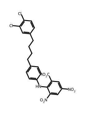 O=C(O)c1cc([N+](=O)[O-])cc([N+](=O)[O-])c1Nc1ccc(CCCCc2ccc(Cl)c(Cl)c2)cc1